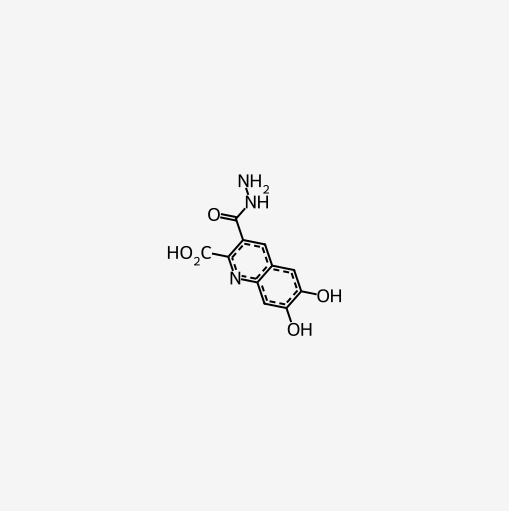 NNC(=O)c1cc2cc(O)c(O)cc2nc1C(=O)O